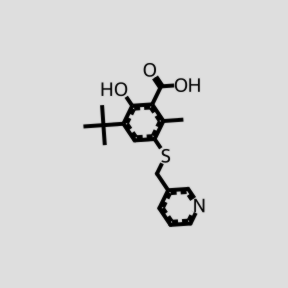 Cc1c(SCc2cccnc2)cc(C(C)(C)C)c(O)c1C(=O)O